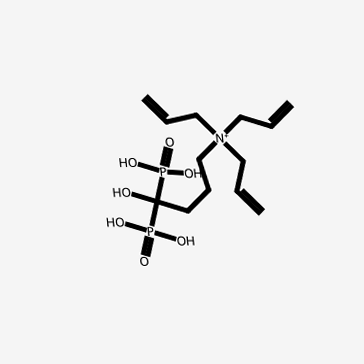 C=CC[N+](CC=C)(CC=C)CCCC(O)(P(=O)(O)O)P(=O)(O)O